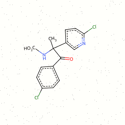 CC(NC(=O)O)(C(=O)c1ccc(Cl)cc1)c1ccc(Cl)nc1